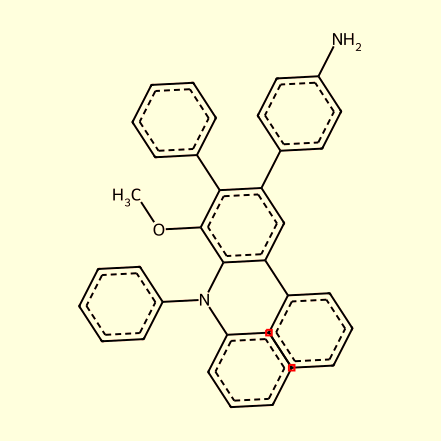 COc1c(-c2ccccc2)c(-c2ccc(N)cc2)cc(-c2ccccc2)c1N(c1ccccc1)c1ccccc1